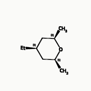 CC[C@H]1C[C@@H](C)O[C@@H](C)C1